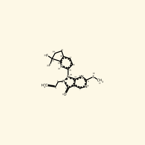 C=CCn1c(=O)c2cnc(SC)nc2n1-c1ccc2c(n1)C(F)(F)CC2